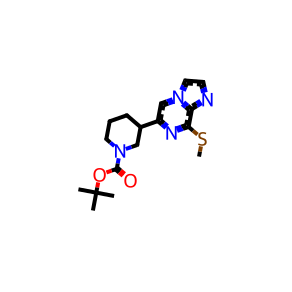 CSc1nc(C2CCCN(C(=O)OC(C)(C)C)C2)cn2ccnc12